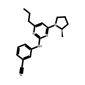 CCCc1cc(N2CCC[C@H]2C)nc(Nc2cccc(C#N)c2)n1